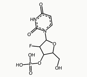 O=c1ccn(C2OC(CO)C(OP(=O)(O)O)C2F)c(=O)[nH]1